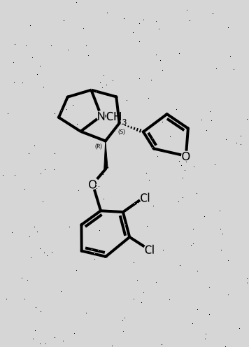 CN1C2CCC1[C@H](COc1cccc(Cl)c1Cl)[C@@H](c1ccoc1)C2